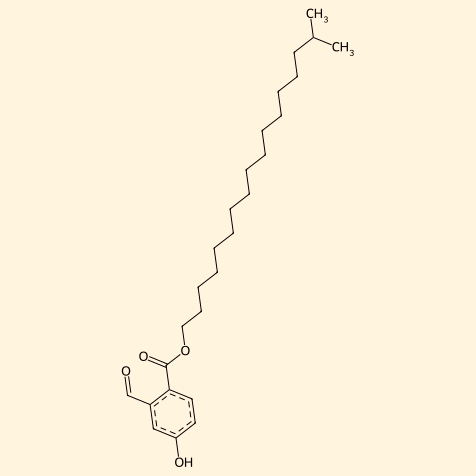 CC(C)CCCCCCCCCCCCCCCOC(=O)c1ccc(O)cc1C=O